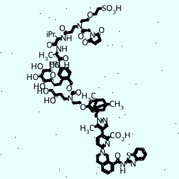 Cc1c(-c2ccc(N3CCc4cccc(C(=O)Nc5nc6ccccc6s5)c4C3)nc2C(=O)O)cnn1CC12CC3(C)CC(C)(C1)CC(OCCN(CC[C@H](O)CO)C(=O)OCc1ccc(NC(=O)[C@H](C)NC(=O)[C@@H](NC(=O)CCN(CCOCCS(=O)(=O)O)C(=O)CN4C(=O)C=CC4=O)C(C)C)cc1CC[C@@H]1O[C@H](C(=O)O)[C@@H](O)[C@H](O)[C@H]1O)(C3)C2